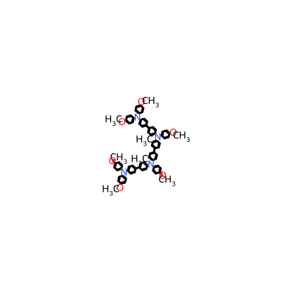 COc1ccc(N(c2ccc(OC)cc2)c2ccc(-c3ccc(N(c4ccc(OC)cc4)c4ccc(-c5ccc(N(c6ccc(OC)cc6)c6ccc(-c7ccc(N(c8ccc(OC)cc8)c8ccc(OC)cc8)cc7)cc6)c(C)c5)cc4C)cc3)cc2)cc1